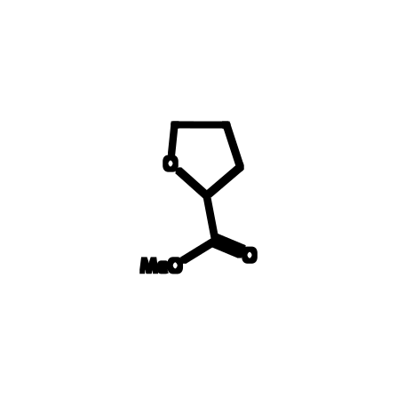 [CH2]OC(=O)C1CCCO1